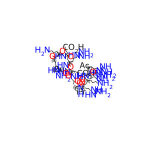 CC[C@H](C)C(NC(=O)[C@H](CCCNC(=N)N)CC(=O)[C@H](CCC(=O)O)NC(=O)[C@H](CCCCN)CC(=O)[C@@H](C)CCCNC(=N)N)C(=O)C[C@@H](CCC(=O)O)C(=O)NCC(=O)C[C@@H](CC(C)C)C(=O)N[C@@H](CCCNC(=N)N)C(=O)C[C@@H](CCCCN)C(=O)N[C@@H](CCCNC(=N)N)C(=O)C[C@@H](CCCNC(=N)N)C(C)=O